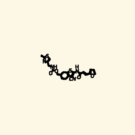 Cc1nc(CNC(=O)OCC2CCc3c(sc(NC(=O)C=Cc4ccco4)c3C#N)C2)cs1